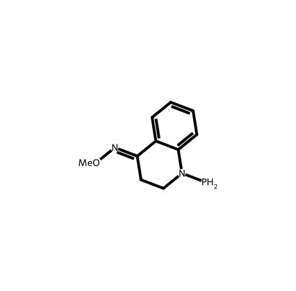 CO/N=C1\CCN(P)c2ccccc21